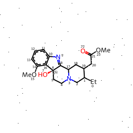 CCC1CN2CC[C@@]3(O)C(=Nc4cccc(OC)c43)C2CC1CC(=O)OC